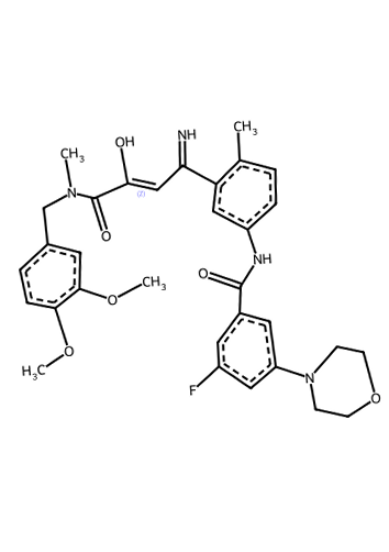 COc1ccc(CN(C)C(=O)/C(O)=C/C(=N)c2cc(NC(=O)c3cc(F)cc(N4CCOCC4)c3)ccc2C)cc1OC